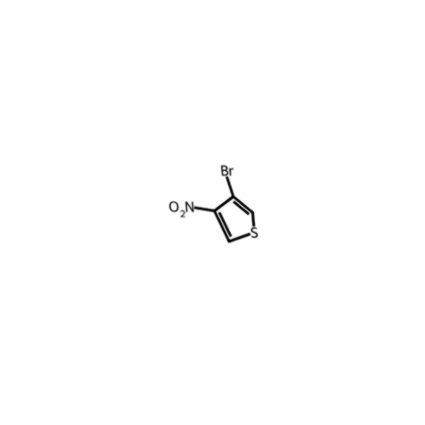 O=[N+]([O-])c1cscc1Br